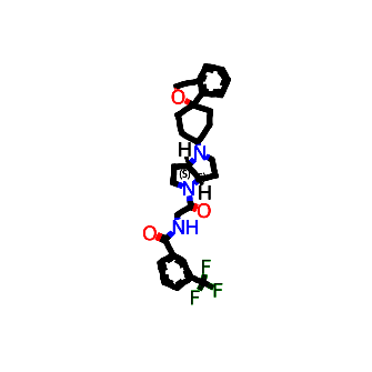 O=C(NCC(=O)N1CC[C@H]2[C@@H]1CCN2C1CCC2(CC1)OCc1ccccc12)c1cccc(C(F)(F)F)c1